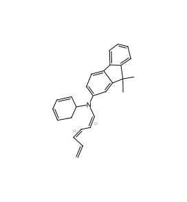 C=C/C=C\C=C/N(c1ccc2c(c1)C(C)(C)c1ccccc1-2)C1C=CC=CC1